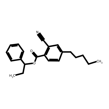 CCCCCc1ccc(C(=O)OC(CC)c2ccccc2)c(C#N)c1